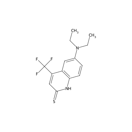 CCN(CC)c1ccc2[nH]c(=S)cc(C(F)(F)F)c2c1